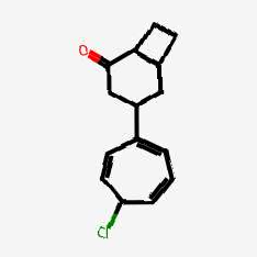 O=C1CC(C2=CC=CC(Cl)C=C2)CC2CCC12